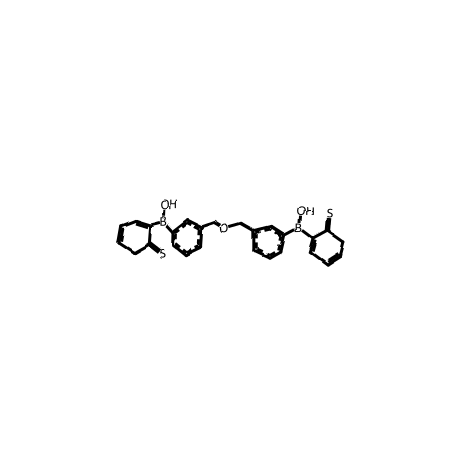 OB(C1=CC=CCC1=S)c1cccc(COCc2cccc(B(O)C3=CC=CCC3=S)c2)c1